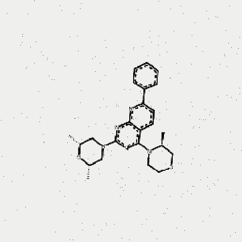 C[C@@H]1CN(c2nc(N3CCOC[C@@H]3C)c3ccc(-c4ccccc4)nc3n2)C[C@H](C)O1